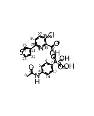 CC(=O)Nc1ccc([As](=O)(O)OO)cc1.O=C(O)c1nc(-c2ccsc2)ccc1Cl